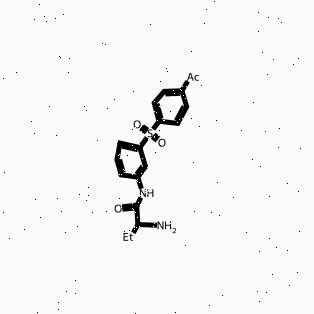 CCC(N)C(=O)Nc1cccc(S(=O)(=O)c2ccc(C(C)=O)cc2)c1